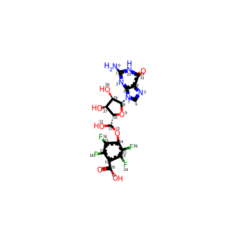 Nc1nc2c(ncn2[C@@H]2O[C@H](C(O)Oc3c(F)c(F)c(C(=O)O)c(F)c3F)[C@@H](O)[C@H]2O)c(=O)[nH]1